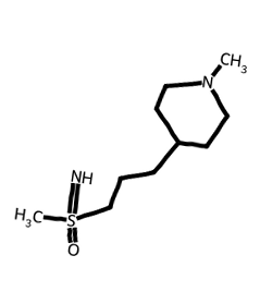 CN1CCC(CCCS(C)(=N)=O)CC1